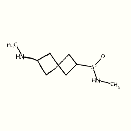 CNC1CC2(C1)CC([S+]([O-])NC)C2